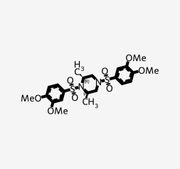 COc1ccc(S(=O)(=O)N2C[C@@H](C)N(S(=O)(=O)c3ccc(OC)c(OC)c3)[C@H](C)C2)cc1OC